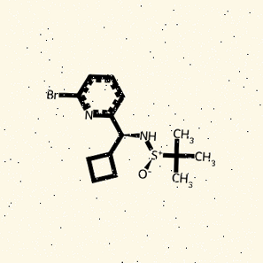 CC(C)(C)[S@@+]([O-])N[C@H](c1cccc(Br)n1)C1CCC1